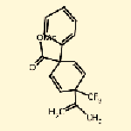 C=C(C)C1(C(F)(F)F)C=CC(C(=O)OC)(c2ccccc2)C=C1